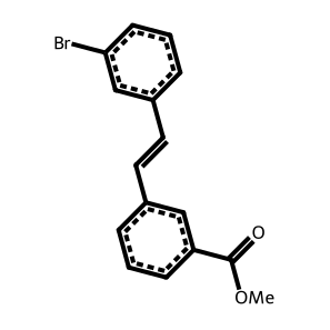 COC(=O)c1cccc(C=Cc2cccc(Br)c2)c1